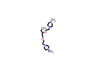 [CH2]CC(CCOCCN1CCN(C)CC1)OCCN1CCN(C)CC1